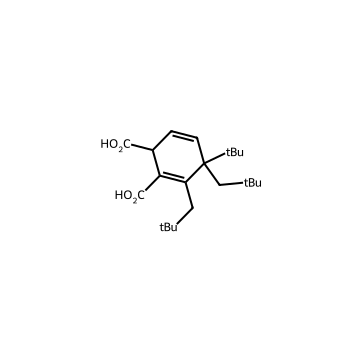 CC(C)(C)CC1=C(C(=O)O)C(C(=O)O)C=CC1(CC(C)(C)C)C(C)(C)C